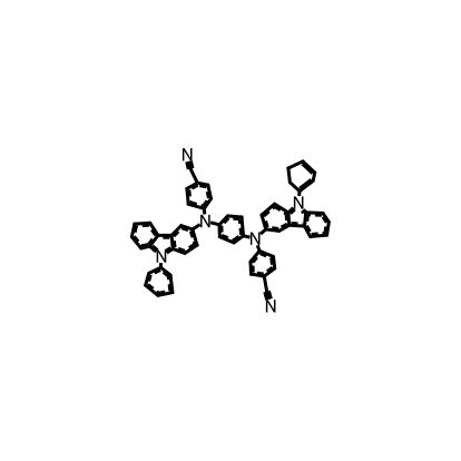 N#Cc1ccc(N(c2ccc(N(c3ccc(C#N)cc3)c3ccc4c(c3)c3ccccc3n4-c3ccccc3)cc2)c2ccc3c(c2)c2ccccc2n3C2=CC=CCC2)cc1